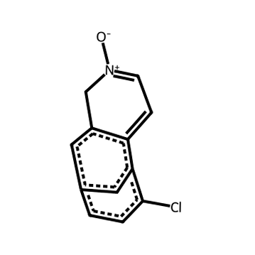 [O-][N+]1=CC=c2c(cc3ccc(Cl)c2c3)C1